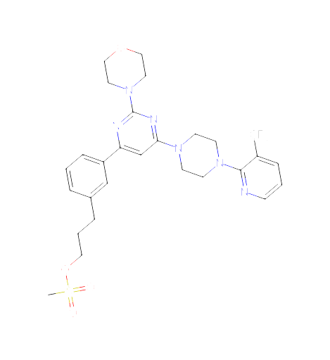 CS(=O)(=O)OCCCc1cccc(-c2cc(N3CCN(c4ncccc4C(F)(F)F)CC3)nc(N3CCOCC3)n2)c1